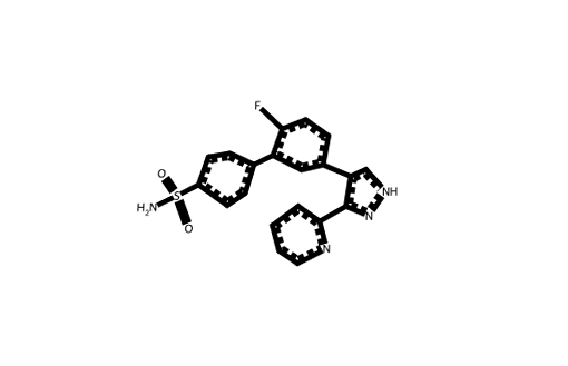 NS(=O)(=O)c1ccc(-c2cc(-c3c[nH]nc3-c3ccccn3)ccc2F)cc1